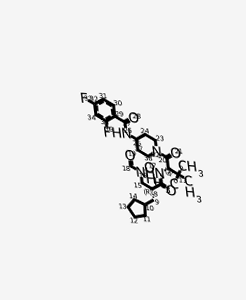 CC(C)(C)[C@H](NC(=O)[C@H](CC1CCCC1)CN(O)C=O)C(=O)N1CCC(NC(=O)c2ccc(F)cc2F)CC1